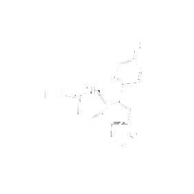 CN1CC=c2c3c(cc(-c4ccc(Cl)cc4)c2=CN1)OCO3